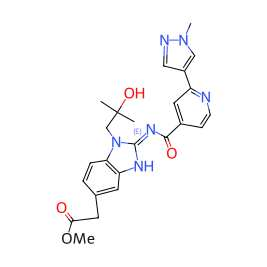 COC(=O)Cc1ccc2c(c1)[nH]/c(=N\C(=O)c1ccnc(-c3cnn(C)c3)c1)n2CC(C)(C)O